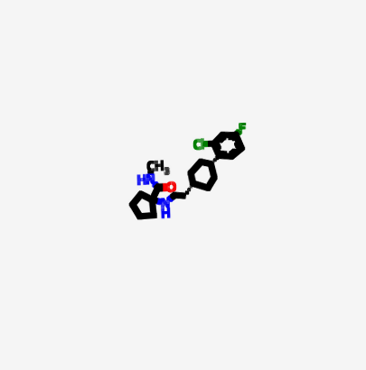 CNC(=O)C1(NCC[C@H]2CC[C@@H](c3ccc(F)cc3Cl)CC2)CCCC1